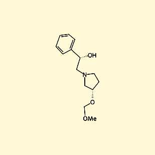 COCO[C@H]1CCN(C[C@@H](O)c2ccccc2)C1